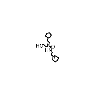 O=C(NCCN1CCCCC1)N(CCO)CCC1CCCCC1